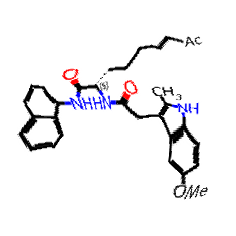 COc1ccc2[nH]c(C)c(CC(=O)N[C@@H](CCCCCC(C)=O)C(=O)Nc3cccc4ccccc34)c2c1